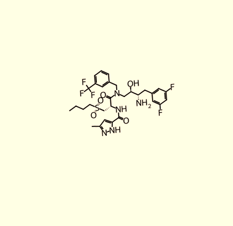 CCCCS(=O)(=O)C[C@@H](NC(=O)c1cc(C)n[nH]1)C(=O)N(Cc1cccc(C(F)(F)F)c1)C[C@@H](O)[C@@H](N)Cc1cc(F)cc(F)c1